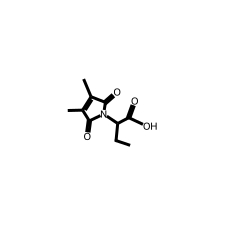 CCC(C(=O)O)N1C(=O)C(C)=C(C)C1=O